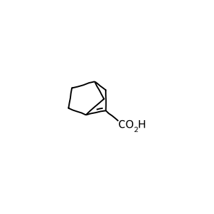 O=C(O)C1=C2CCC(C2)C1